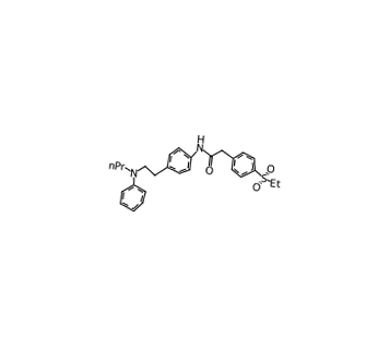 CCCN(CCc1ccc(NC(=O)Cc2ccc(S(=O)(=O)CC)cc2)cc1)c1ccccc1